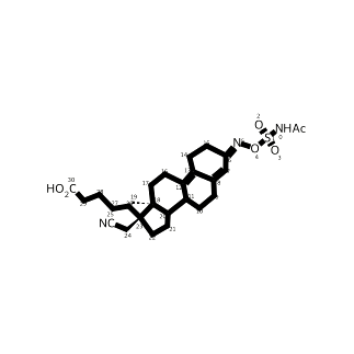 CC(=O)NS(=O)(=O)ON=C1C=C2CCC3C(=C2CC1)CC[C@@]1(C)C3CC[C@]1(CC#N)CCCCC(=O)O